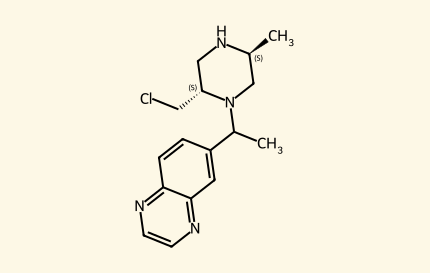 CC(c1ccc2nccnc2c1)N1C[C@H](C)NC[C@H]1CCl